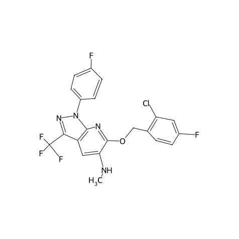 CNc1cc2c(C(F)(F)F)nn(-c3ccc(F)cc3)c2nc1OCc1ccc(F)cc1Cl